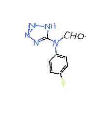 O=[C]N(c1ccc(F)cc1)c1nnn[nH]1